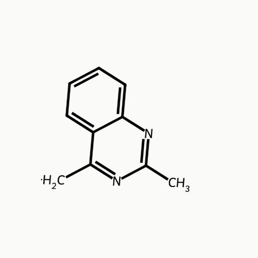 [CH2]c1nc(C)nc2ccccc12